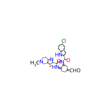 CN1CCc2nc(C(=O)N[C@@H]3CC[C@@H](C=O)C[C@@H]3NC(=O)c3cc4cc(Cl)ccc4[nH]3)sc2C1